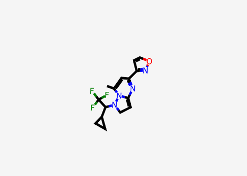 CC1=CC(c2ccon2)=NC2=CCN(C(C3CC3)C(F)(F)F)N12